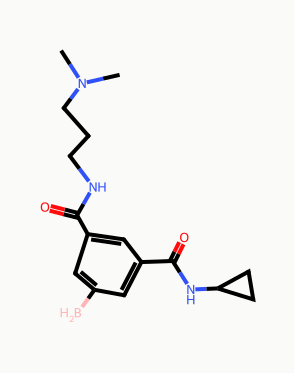 Bc1cc(C(=O)NCCCN(C)C)cc(C(=O)NC2CC2)c1